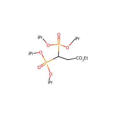 CCOC(=O)CC(P(=O)(OC(C)C)OC(C)C)P(=O)(OC(C)C)OC(C)C